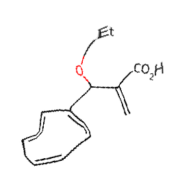 C=C(C(=O)O)C(OCC)c1ccccc1